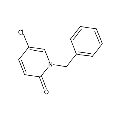 O=c1ccc(Cl)cn1Cc1ccccc1